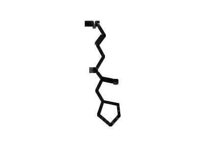 O=C(O)C=CCNC(=O)CC1CCCC1